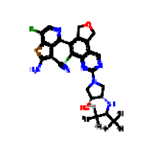 [2H]C([2H])([2H])C(N[C@H]1CN(c2ncc3c4c(c(-c5ncc(F)c6sc(N)c(C#N)c56)c(F)c3n2)COC4)C[C@H]1O)C([2H])([2H])[2H]